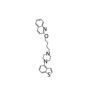 c1ccc2nc(OCCCCN3CCN(c4cccc5sccc45)CC3)ccc2c1